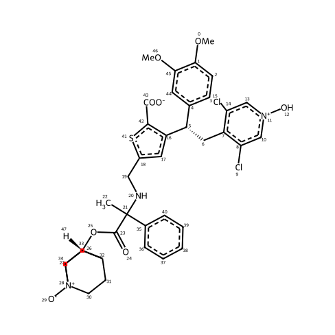 COc1ccc([C@H](Cc2c(Cl)c[n+](O)cc2Cl)c2cc(CNC(C)(C(=O)O[C@H]3C[N+]4([O-])CCC3CC4)c3ccccc3)sc2C(=O)[O-])cc1OC